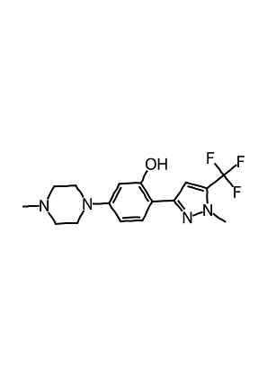 CN1CCN(c2ccc(-c3cc(C(F)(F)F)n(C)n3)c(O)c2)CC1